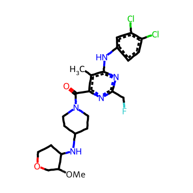 COC1COCCC1NC1CCN(C(=O)c2nc(CF)nc(Nc3ccc(Cl)c(Cl)c3)c2C)CC1